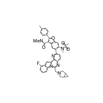 CNC(=O)c1c(-c2ccc(C)cc2)oc2cc(N(C)S(C)(=O)=O)c(-c3ccc4nc(CN5CC6CC6C5)n5c6cccc(F)c6cc5c4n3)cc12